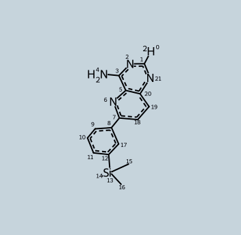 [2H]c1nc(N)c2nc(-c3cccc([Si](C)(C)C)c3)ccc2n1